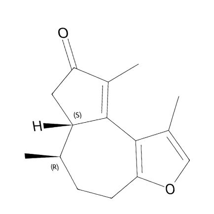 CC1=C2c3c(C)coc3CC[C@@H](C)[C@@H]2CC1=O